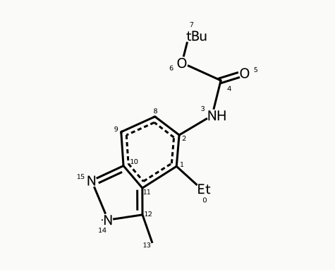 CCc1c(NC(=O)OC(C)(C)C)ccc2c1=C(C)[N]N=2